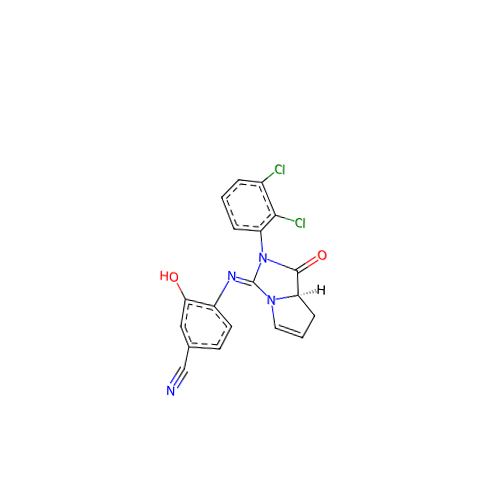 N#Cc1ccc(N=C2N(c3cccc(Cl)c3Cl)C(=O)[C@H]3CC=CN23)c(O)c1